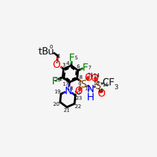 CC(C)(C)COc1c(F)c(F)c(S(=O)(=O)NS(=O)(=O)C(F)(F)F)c(N2CCCCC2)c1F